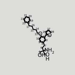 NC(CO)(CO)CCc1ccc(OCCCCCc2ccccc2)c(-c2ccco2)c1